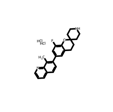 Cc1c(-c2cc(F)c3c(c2)CCC2(CCNCC2)O3)ccc2cccnc12.Cl.Cl